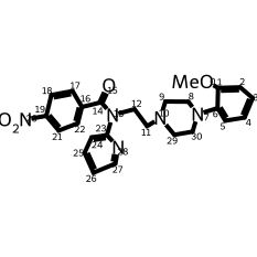 COc1ccccc1N1CCN(CCN(C(=O)c2ccc([N+](=O)[O-])cc2)c2ccccn2)CC1